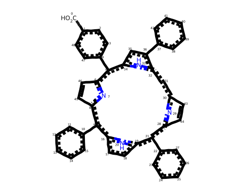 O=C(O)c1ccc(-c2c3nc(c(-c4ccccc4)c4ccc([nH]4)c(-c4ccccc4)c4nc(cc5[nH]c2cc5-c2ccccc2)C=C4)C=C3)cc1